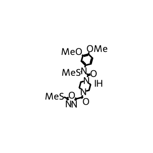 COc1ccc(N(SC)C(=O)N2CCN(C(=O)c3nnc(SC)o3)CC2)cc1OC.I